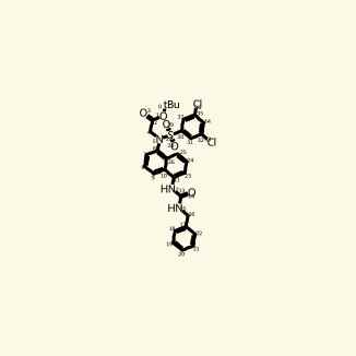 CC(C)(C)OC(=O)CN(c1cccc2c(NC(=O)NCc3ccccc3)cccc12)S(=O)(=O)c1cc(Cl)cc(Cl)c1